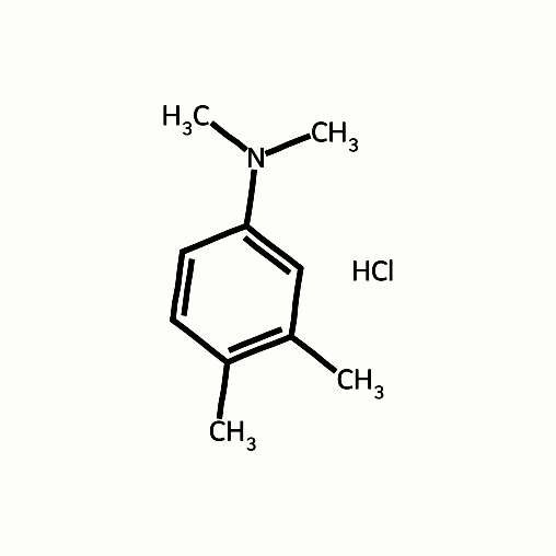 Cc1ccc(N(C)C)cc1C.Cl